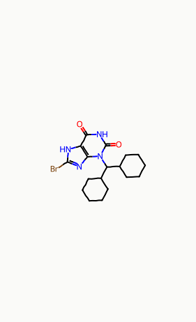 O=c1[nH]c(=O)n(C(C2CCCCC2)C2CCCCC2)c2nc(Br)[nH]c12